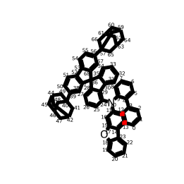 c1ccc(-c2ccccc2N(c2ccc3c(c2)oc2ccccc23)c2cccc3c2-c2ccccc2C32c3cc(C45CC6CC(CC(C6)C4)C5)ccc3-c3ccc(C45CC6CC(CC(C6)C4)C5)cc32)cc1